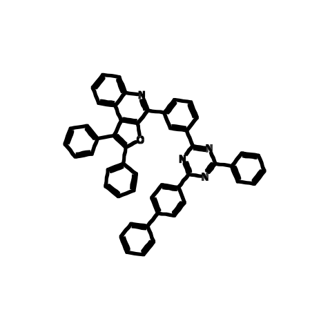 c1ccc(-c2ccc(-c3nc(-c4ccccc4)nc(-c4cccc(-c5nc6ccccc6c6c(-c7ccccc7)c(-c7ccccc7)oc56)c4)n3)cc2)cc1